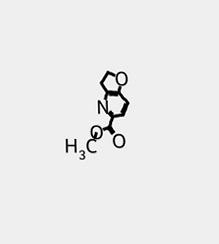 COC(=O)c1ccc2c(n1)CCO2